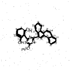 CC(C)Oc1nc(-c2c(O)cccc2O)nc(-c2cc3c4ccccc4ccc3c3ccccc23)n1